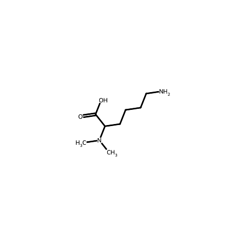 CN(C)C(CCCCN)C(=O)O